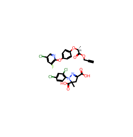 C#CCOC(=O)[C@@H](C)Oc1ccc(Oc2ncc(Cl)cc2F)cc1.CC1(C(=O)O)CC(C(=O)O)=NN1c1ccc(Cl)cc1Cl